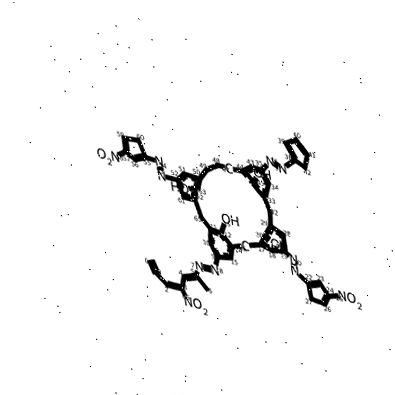 C#C/C=C(\C=C(/C)N=Nc1cc2c(O)c(c1)Cc1cc(N=NC3=CC([N+](=O)[O-])=CC3)cc(c1O)Cc1cc(N=NC3=CC=CC3)cc(c1O)CCCc1cc(N=NC3=CC([N+](=O)[O-])=CC3)cc(c1O)C2)[N+](=O)[O-]